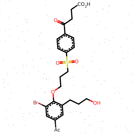 CC(=O)c1cc(Br)c(OCCCS(=O)(=O)c2ccc(C(=O)CCC(=O)O)cc2)c(CCCO)c1